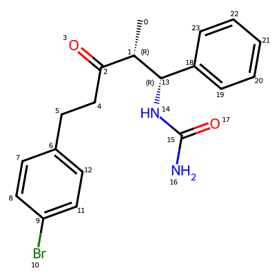 C[C@@H](C(=O)CCc1ccc(Br)cc1)[C@@H](NC(N)=O)c1ccccc1